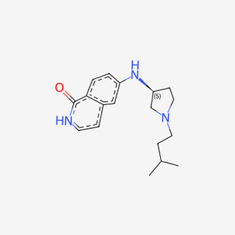 CC(C)CCN1CC[C@H](Nc2ccc3c(=O)[nH]ccc3c2)C1